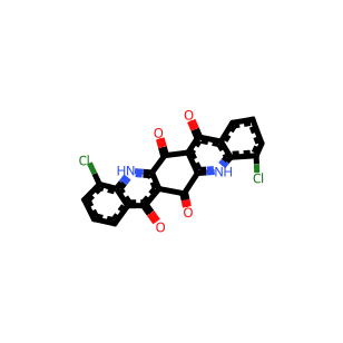 O=C1c2[nH]c3c(Cl)cccc3c(=O)c2C(=O)c2[nH]c3c(Cl)cccc3c(=O)c21